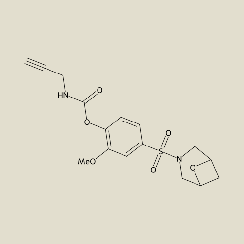 C#CCNC(=O)Oc1ccc(S(=O)(=O)N2CC3CC(C2)O3)cc1OC